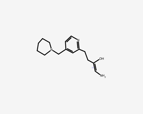 N/C=C(\O)CCc1cc(CN2CCCCC2)ccn1